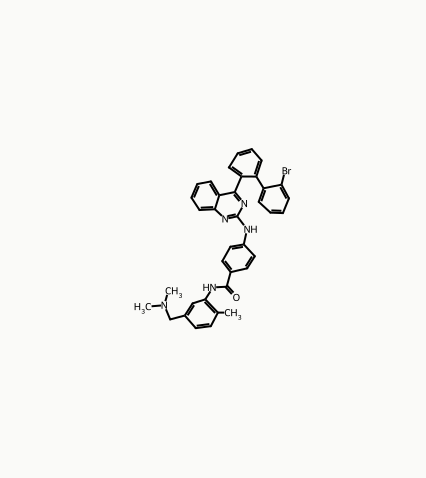 Cc1ccc(CN(C)C)cc1NC(=O)c1ccc(Nc2nc(-c3ccccc3-c3ccccc3Br)c3ccccc3n2)cc1